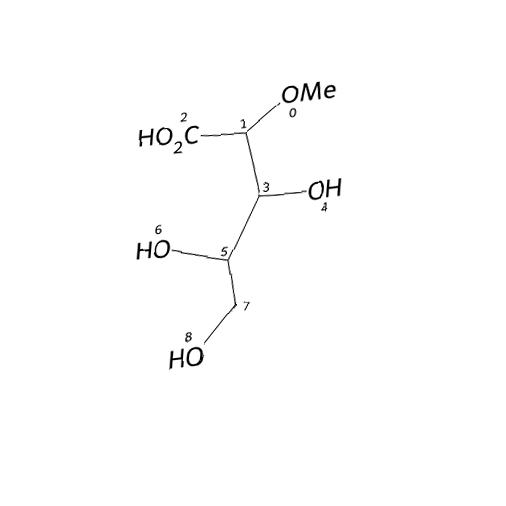 COC(C(=O)O)C(O)C(O)CO